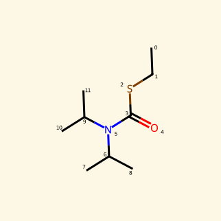 CCSC(=O)N(C(C)C)C(C)C